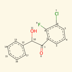 O=C(c1cccc(Cl)c1F)C(O)c1ccccc1